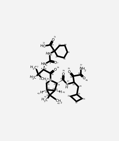 CC(C)(C)[C@H](NC(=O)NC1(C(=O)O)CCCCC1)C(=O)N1C[C@H]2[C@@H]([C@H]1C(=O)NC(CC1CCC1)C(=O)C(N)=O)C2(C)C